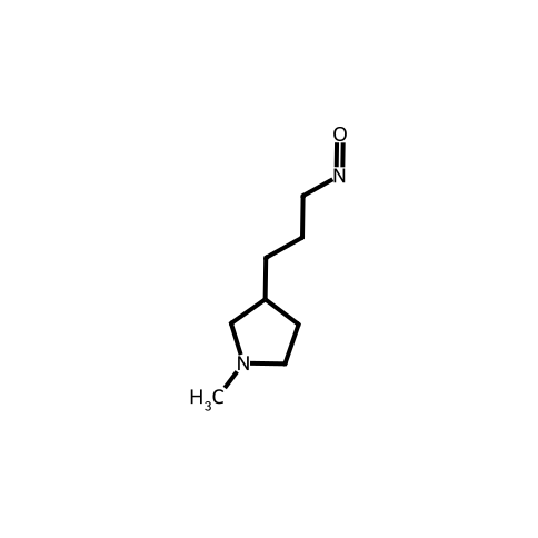 CN1CCC(CCCN=O)C1